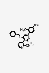 Cc1cc(C(C)(C)C)ccc1-c1cc(OCc2ccccc2)c(-c2cccnc2C#N)c(C)n1